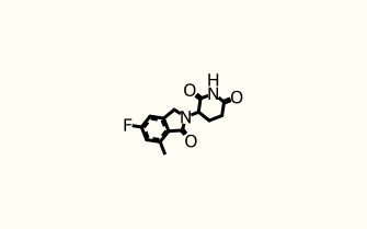 Cc1cc(F)cc2c1C(=O)N(C1CCC(=O)NC1=O)C2